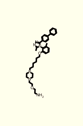 Cc1cccc(OCCCCCCN2CCN(CCOCCN)CC2)c1-n1c(C)nnc1-c1ccc(-c2ccccc2)cc1